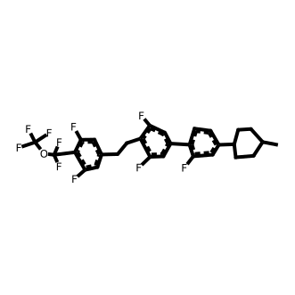 CC1CCC(c2ccc(-c3cc(F)c(CCc4cc(F)c(C(F)(F)OC(F)(F)F)c(F)c4)c(F)c3)c(F)c2)CC1